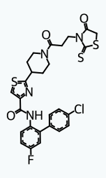 O=C(Nc1ccc(F)cc1-c1ccc(Cl)cc1)c1csc(C2CCN(C(=O)CCN3C(=O)CSC3=S)CC2)n1